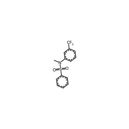 CN(c1cccc(C(F)(F)F)c1)S(=O)(=O)c1ccccc1